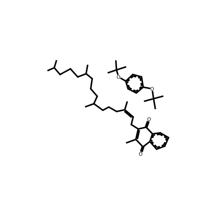 CC(=CCC1=C(C)C(=O)c2ccccc2C1=O)CCCC(C)CCCC(C)CCCC(C)C.CC(C)(C)Oc1ccc(OC(C)(C)C)cc1